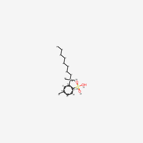 CCCCCCCC[Si](C)(C)c1cc(C)ccc1S(=O)(=O)O